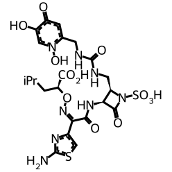 CC(C)C[C@H](ON=C(C(=O)N[C@@H]1C(=O)N(S(=O)(=O)O)[C@@H]1CNC(=O)NCc1cc(=O)c(O)cn1O)c1csc(N)n1)C(=O)O